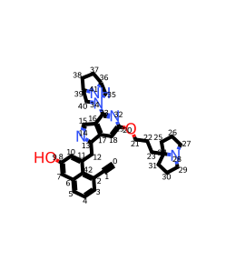 C#Cc1cccc2cc(O)cc(CC3N=Cc4c3cc(OCCCC35CCCN3CCC5)nc4N3CC4CCC(C3)N4)c12